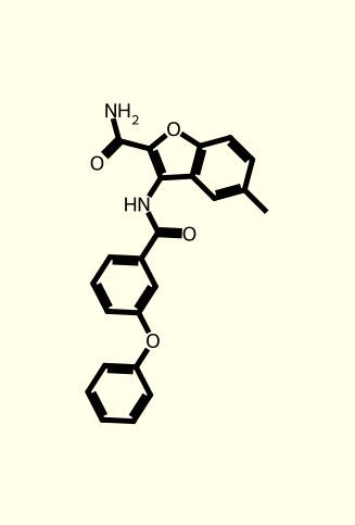 Cc1ccc2oc(C(N)=O)c(NC(=O)c3cccc(Oc4ccccc4)c3)c2c1